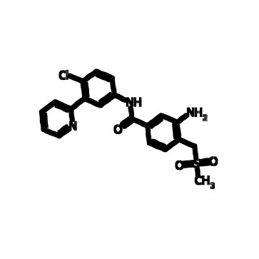 CS(=O)(=O)Cc1ccc(C(=O)Nc2ccc(Cl)c(-c3ccccn3)c2)cc1N